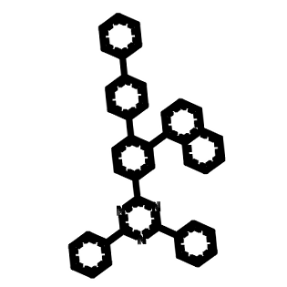 c1ccc(-c2ccc(-c3ccc(-c4nc(-c5ccccc5)nc(-c5ccccc5)n4)cc3-c3cccc4ccccc34)cc2)cc1